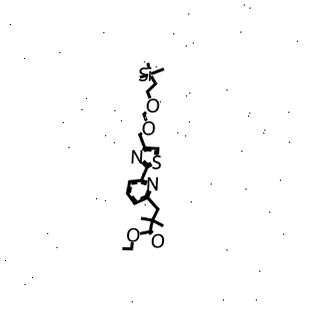 CCOC(=O)C(C)(C)Cc1cccc(-c2nc(COCOCC[Si](C)(C)C)cs2)n1